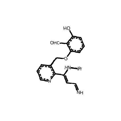 CC(C)N/C(=C\C=N)c1ncccc1COc1cccc(O)c1C=O